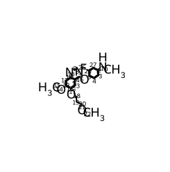 CNc1ccc(Oc2ncnc3cc(OC)c(OCCCOC)cc23)c(F)c1